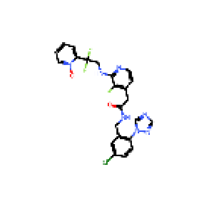 O=C(Cc1ccnc(NCC(F)(F)c2cccc[n+]2[O-])c1F)NCc1cc(Cl)ccc1-n1cncn1